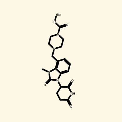 Cn1c(=O)n(C2CCC(=O)NC2=O)c2cccc(CN3CCN(C(=O)OC(C)(C)C)CC3)c21